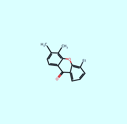 CCc1cccc2c(=O)c3ccc(C)c(C)c3oc12